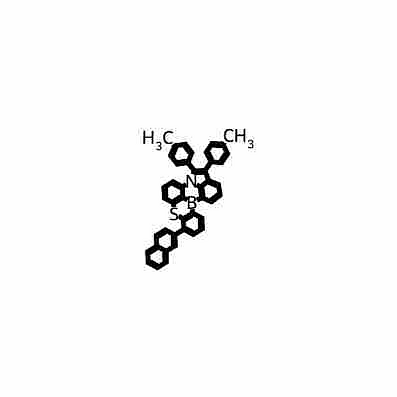 Cc1ccc(-c2c(-c3ccc(C)cc3)n3c4c(cccc24)B2c4cccc(-c5ccc6ccccc6c5)c4Sc4cccc-3c42)cc1